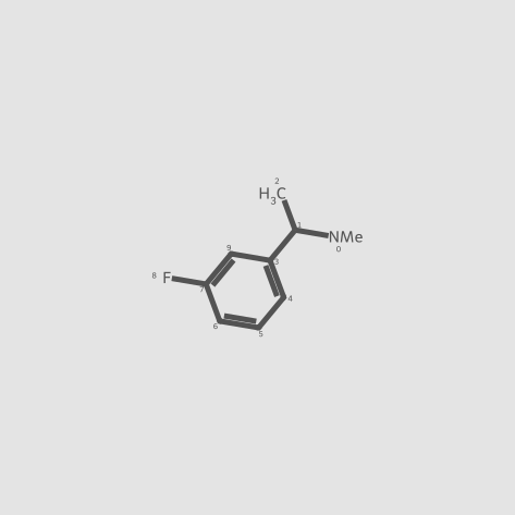 CNC(C)c1cccc(F)c1